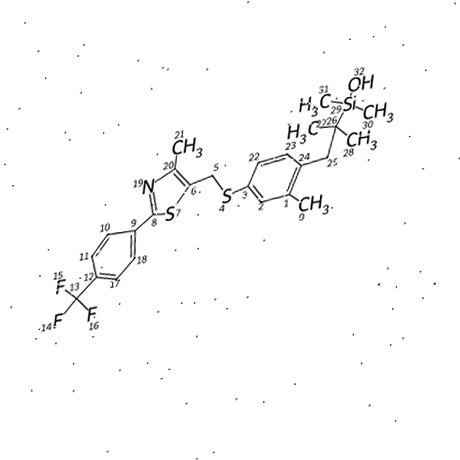 Cc1cc(SCc2sc(-c3ccc(C(F)(F)F)cc3)nc2C)ccc1CC(C)(C)[Si](C)(C)O